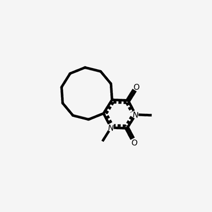 Cn1c2c(c(=O)n(C)c1=O)CCCCCCCC2